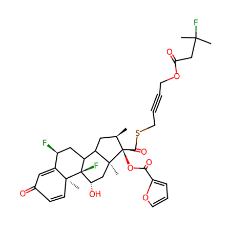 C[C@@H]1CC2C3C[C@H](F)C4=CC(=O)C=C[C@]4(C)[C@@]3(F)[C@@H](O)C[C@]2(C)[C@@]1(OC(=O)c1ccco1)C(=O)SCC#CCOC(=O)CC(C)(C)F